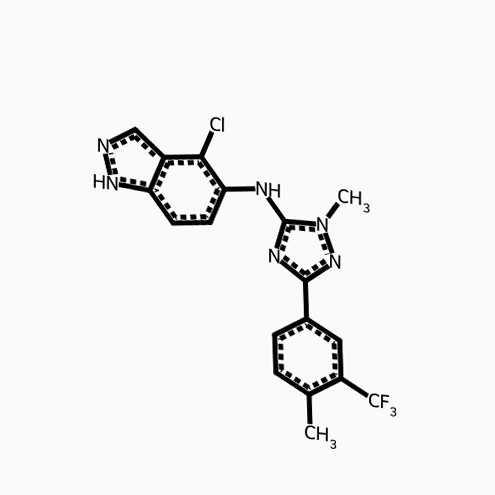 Cc1ccc(-c2nc(Nc3ccc4[nH]ncc4c3Cl)n(C)n2)cc1C(F)(F)F